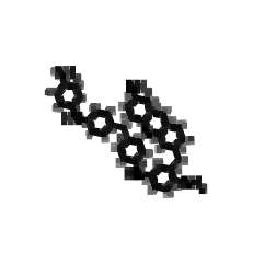 Nc1ccc(Nc2ccc(Cc3ccc(Nc4ccc(N)c(Cc5ccc6cc7cc(N)ccc7nc6c5)c4)cc3)cc2)cc1